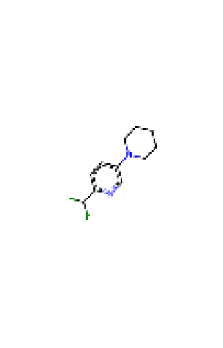 FC(F)c1ccc(N2CCCCC2)cn1